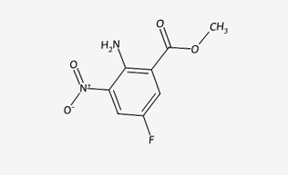 COC(=O)c1cc(F)cc([N+](=O)[O-])c1N